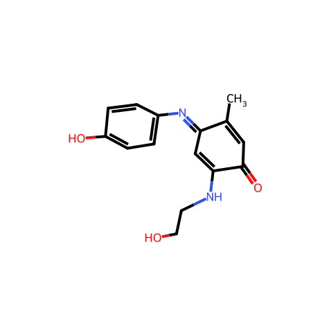 CC1=CC(=O)C(NCCO)=CC1=Nc1ccc(O)cc1